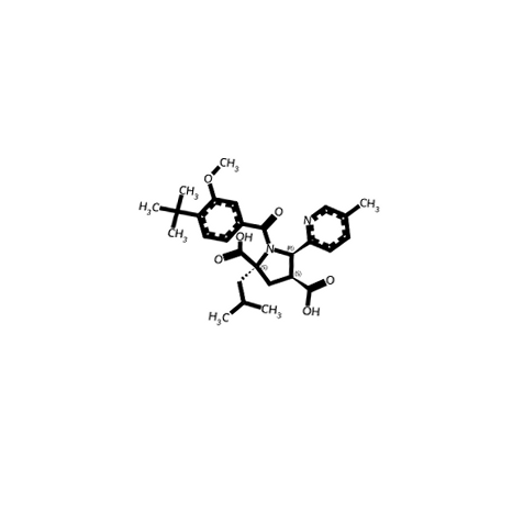 COc1cc(C(=O)N2[C@@H](c3ccc(C)cn3)[C@@H](C(=O)O)C[C@@]2(CC(C)C)C(=O)O)ccc1C(C)(C)C